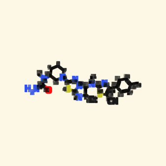 CCc1nc2sc(N3CCC[C@H](N(C)C(N)=O)C3)nn2c1N(C)c1nc(-c2ccc(C)cc2)c(C#N)s1